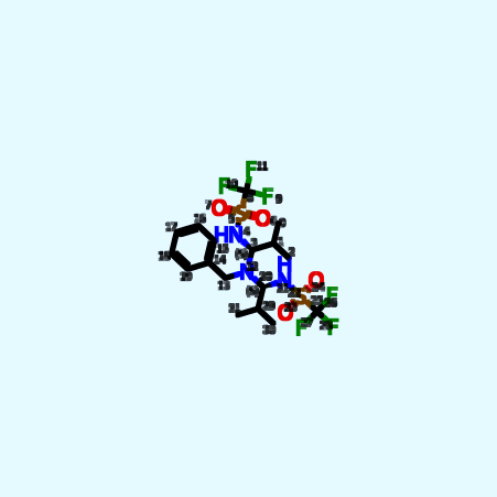 CC(C)[C@H](NS(=O)(=O)C(F)(F)F)N(Cc1ccccc1)[C@@H](NS(=O)(=O)C(F)(F)F)C(C)C